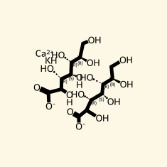 O=C([O-])C(O)[C@H](O)[C@@H](O)[C@H](O)[C@H](O)CO.O=C([O-])C(O)[C@H](O)[C@@H](O)[C@H](O)[C@H](O)CO.[Ca+2].[KH]